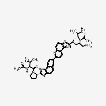 CC(=O)N[C@H](C(=O)N1CCC[C@H]1c1nc2ccc3cc(-c4ccc5c(ccc6nc([C@H](CCCN)C[C@@H](NC(C)=O)C(C)C)[nH]c65)n4)ccc3c2[nH]1)C(C)C